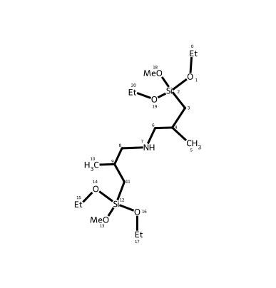 CCO[Si](CC(C)CNCC(C)C[Si](OC)(OCC)OCC)(OC)OCC